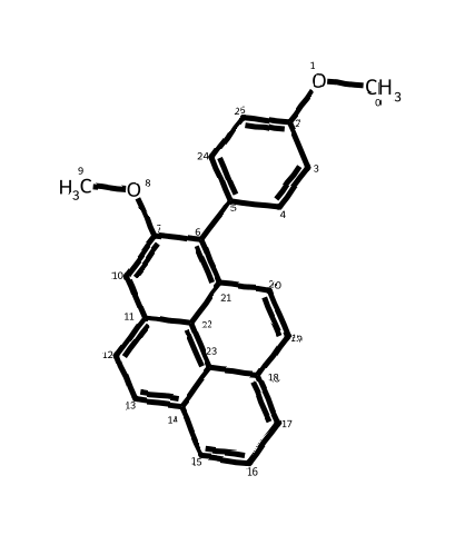 COc1ccc(-c2c(OC)cc3ccc4cccc5ccc2c3c45)cc1